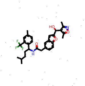 Cc1ccc(C(CCC(C)C)NC(=O)Cc2ccc3oc(C(O)c4c(C)noc4C)cc3c2)c(C(F)(F)F)c1